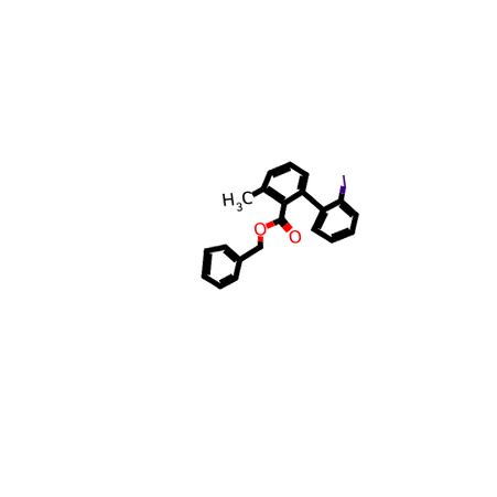 Cc1cccc(-c2ccccc2I)c1C(=O)OCc1ccccc1